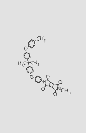 Cc1ccc(Oc2ccc(C(C)(C)c3ccc(Oc4ccc(N5C(=O)C6C7C(=O)N(C)C(=O)C7C6C5=O)cc4)cc3)cc2)cc1